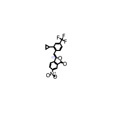 O=C1O/C(=C\c2ccc(C(F)(F)F)cc2C2CC2)c2ccc([N+](=O)[O-])cc21